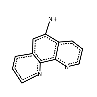 [NH]c1cc2cccnc2c2ncccc12